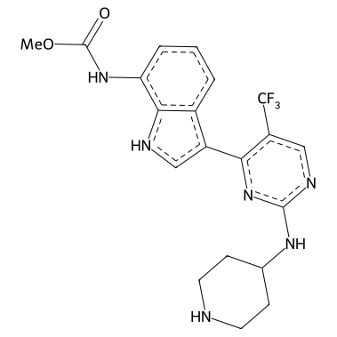 COC(=O)Nc1cccc2c(-c3nc(NC4CCNCC4)ncc3C(F)(F)F)c[nH]c12